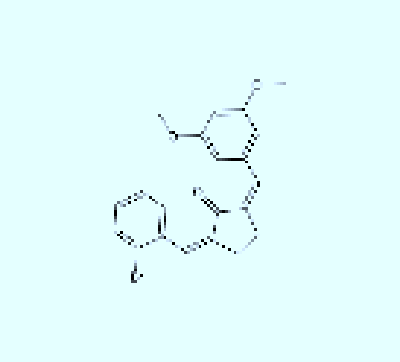 COc1cc(C=C2CCC(=Cc3ccccc3Br)C2=O)cc(OC)c1